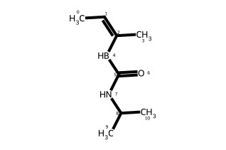 C/C=C(/C)BC(=O)NC(C)C